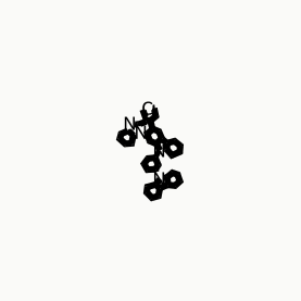 c1cc(-n2c3ccccc3c3ccccc32)cc(-n2c3ccccc3c3cc4c5ccccc5c5nc6ccccc6n5c4cc32)c1